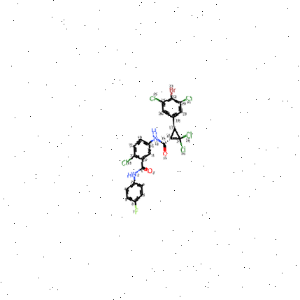 O=C(Nc1ccc(F)cc1)c1cc(NC(=O)[C@@H]2[C@@H](c3cc(Cl)c(Br)c(Cl)c3)C2(Cl)Cl)ccc1Cl